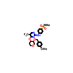 CNS(=O)(=O)c1ccc(Nc2ncc(C(F)(F)F)c(O[C@@H]3CCOC[C@@H]3OCc3ccc(OC)cc3)n2)cc1